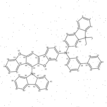 CC1(C)c2ccccc2-c2ccc(N(c3cccc(-c4ccccc4)c3)c3ccc4c(c3)oc3c(-n5c6ccccc6c6ccccc65)c5c(cc34)oc3ccccc35)cc21